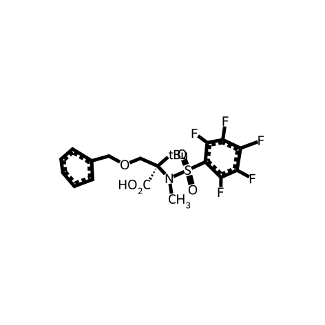 CN([C@](COCc1ccccc1)(C(=O)O)C(C)(C)C)S(=O)(=O)c1c(F)c(F)c(F)c(F)c1F